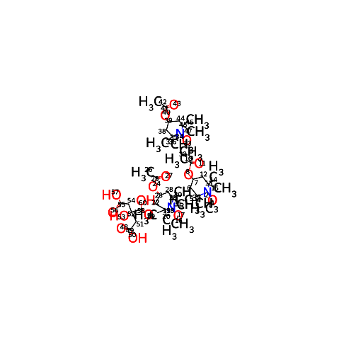 CON1C(C)(C)CC(OC(C)=O)CC1(C)C.CON1C(C)(C)CC(OC(C)=O)CC1(C)C.CON1C(C)(C)CC(OC(C)=O)CC1(C)C.O=C(O)CC(O)(CC(=O)O)C(=O)O